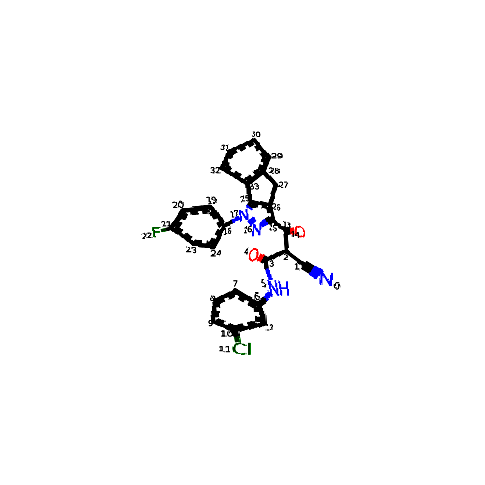 N#CC(C(=O)Nc1cccc(Cl)c1)C(=O)c1nn(-c2ccc(F)cc2)c2c1Cc1ccccc1-2